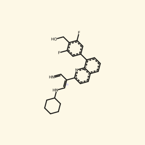 N=C/C(=C\NC1CCCCC1)c1ccc2cccc(-c3cc(F)c(CO)c(F)c3)c2n1